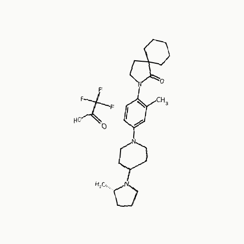 Cc1cc(N2CCC(N3CCC[C@@H]3C)CC2)ccc1N1CCC2(CCCCC2)C1=O.O=C(O)C(F)(F)F